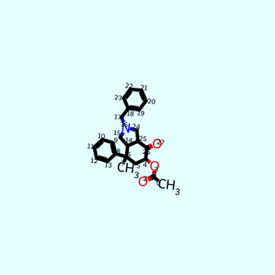 CC(=O)OC1CC(C)(c2ccccc2)C2CN(Cc3ccccc3)CC2C1=O